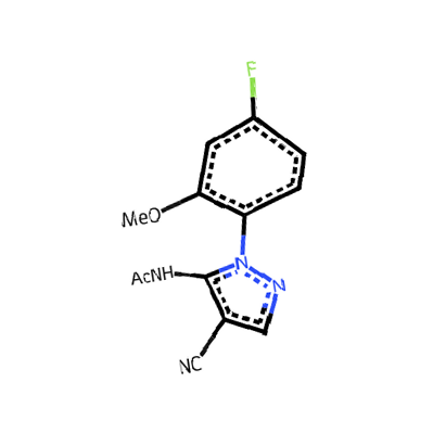 COc1cc(F)ccc1-n1ncc(C#N)c1NC(C)=O